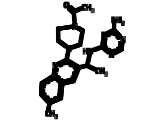 CC(=O)N1CCN(c2nc3ccc(C)cc3cc2C(C)Nc2ncnc(N)n2)CC1